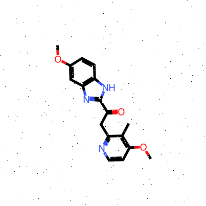 COc1ccc2[nH]c(C(=O)Cc3nccc(OC)c3C)nc2c1